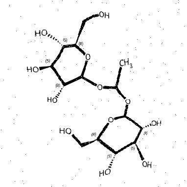 CC(OC1O[C@H](CO)[C@@H](O)[C@H](O)[C@H]1O)OC1O[C@H](CO)[C@@H](O)[C@H](O)[C@H]1O